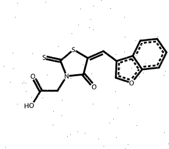 O=C(O)CN1C(=O)C(=Cc2coc3ccccc23)SC1=S